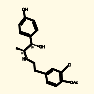 CC(=O)Oc1ccc(CCN[C@@H](C)[C@@H](O)c2ccc(O)cc2)cc1Cl